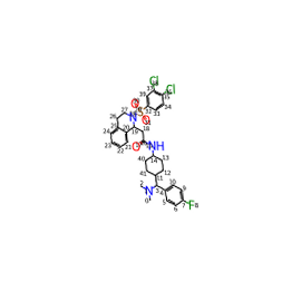 CN(C)C(c1ccc(F)cc1)C1CCC(NC(=O)CC2c3ccccc3CCN2S(=O)(=O)c2ccc(Cl)c(Cl)c2)CC1